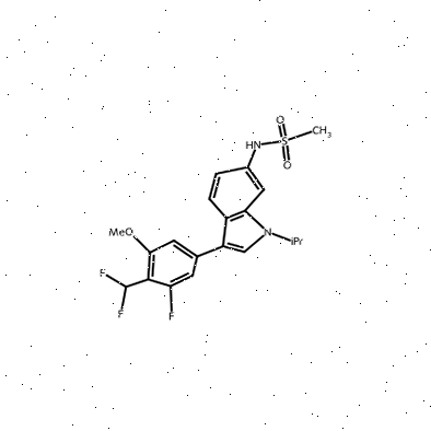 COc1cc(-c2cn(C(C)C)c3cc(NS(C)(=O)=O)ccc23)cc(F)c1C(F)F